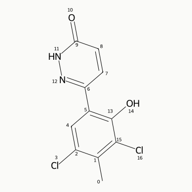 Cc1c(Cl)cc(-c2ccc(=O)[nH]n2)c(O)c1Cl